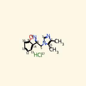 Cc1ncn(Cc2noc3ccccc23)c1C.Cl